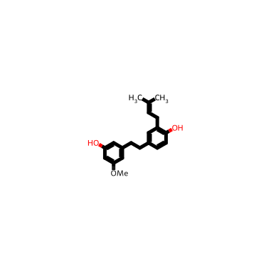 COc1cc(O)cc(CCc2ccc(O)c(CC=C(C)C)c2)c1